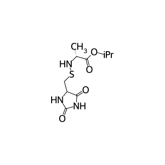 CC(C)OC(=O)[C@@H](C)NSCC1NC(=O)NC1=O